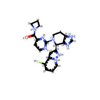 O=C(c1ccnc(N2CCc3[nH]cnc3[C@H]2c2cc3c(F)cccn3n2)n1)N1CCC1